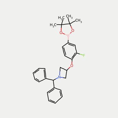 CC1(C)OB(c2ccc(OC3CN(C(c4ccccc4)c4ccccc4)C3)c(F)c2)OC1(C)C